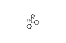 c1ccc(C(Nc2ccco2)c2ccccc2)cc1